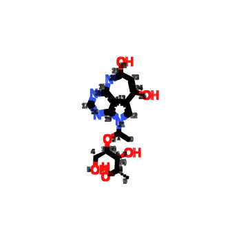 CC(O[C@H](CO)[C@@H](O)[C@H](C)O)n1cc2c3c(ncnc31)N=C(O)C=C2O